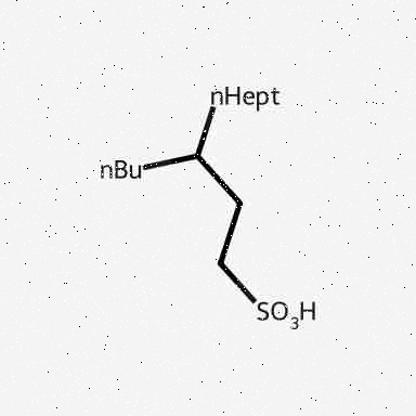 CCCCCCCC(CCCC)CCS(=O)(=O)O